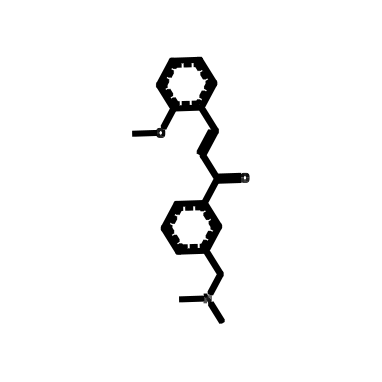 COc1ccccc1/C=C/C(=O)c1cccc(CN(C)C)c1